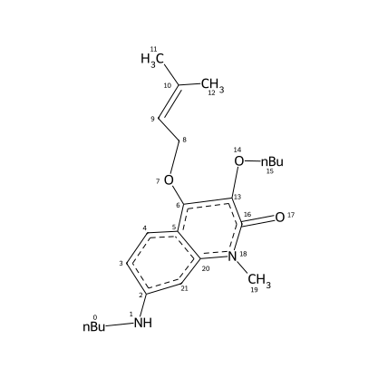 CCCCNc1ccc2c(OCC=C(C)C)c(OCCCC)c(=O)n(C)c2c1